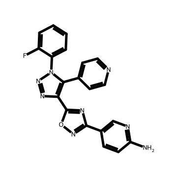 Nc1ccc(-c2noc(-c3nnn(-c4ccccc4F)c3-c3ccncc3)n2)cn1